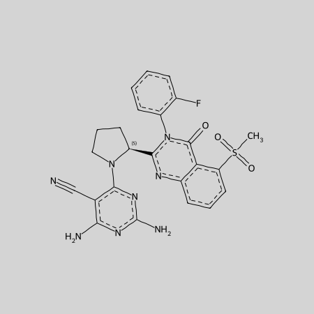 CS(=O)(=O)c1cccc2nc([C@@H]3CCCN3c3nc(N)nc(N)c3C#N)n(-c3ccccc3F)c(=O)c12